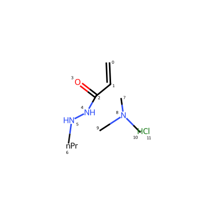 C=CC(=O)NNCCC.CN(C)C.Cl